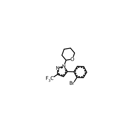 FC(F)(F)c1cc(-c2ccccc2Br)n(C2CCCCO2)n1